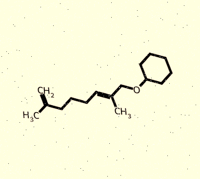 C=C(C)CCC/C=C(\C)COC1CCCCC1